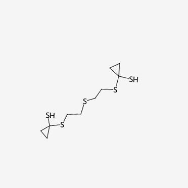 SC1(SCCSCCSC2(S)CC2)CC1